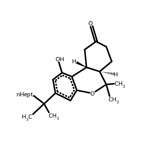 CCCCCCCC(C)(C)c1cc(O)c2c(c1)OC(C)(C)[C@@H]1CCC(=O)C[C@@H]21